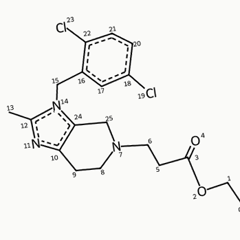 CCOC(=O)CCN1CCc2nc(C)n(Cc3cc(Cl)ccc3Cl)c2C1